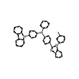 Cc1cccc(-n2c(-c3ccc(N(c4ccccc4)c4ccc(-n5c6ccccc6c6ccccc65)cc4)cc3)nc3ccccc32)c1